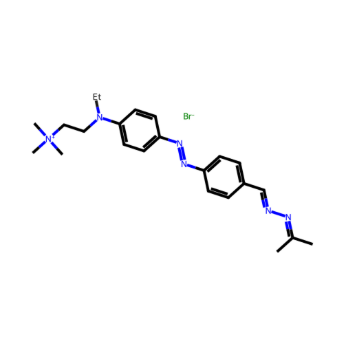 CCN(CC[N+](C)(C)C)c1ccc(N=Nc2ccc(C=NN=C(C)C)cc2)cc1.[Br-]